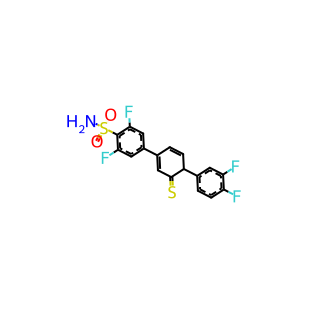 NS(=O)(=O)c1c(F)cc(C2=CC(=S)C(c3ccc(F)c(F)c3)C=C2)cc1F